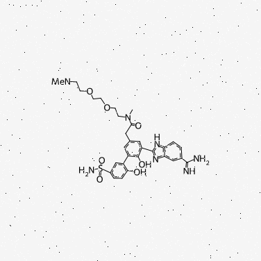 CNCCOCCOCCN(C)C(=O)Cc1cc(-c2nc3cc(C(=N)N)ccc3[nH]2)c(O)c(-c2cc(S(N)(=O)=O)ccc2O)c1